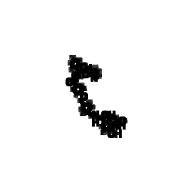 O=C(c1ccc(OCc2ccc(CNC[C@H](O)c3ccc(O)c4[nH]c(=O)ccc34)cc2)cc1)N1CC(C(=O)O[C@H]2CN3CCC2CC3)(c2ccccc2)C1